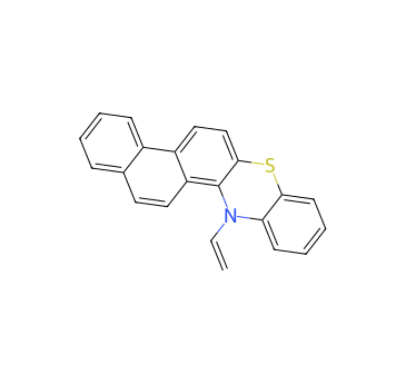 C=CN1c2ccccc2Sc2ccc3c(ccc4ccccc43)c21